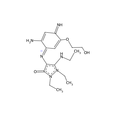 CCNc1c(/N=C2\C=C(OCCO)C(=N)C=C2N)c(=O)n(CC)n1CC